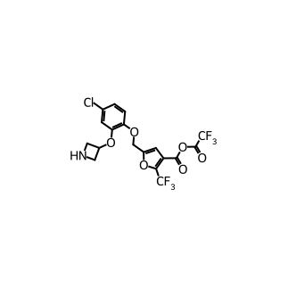 O=C(OC(=O)C(F)(F)F)c1cc(COc2ccc(Cl)cc2OC2CNC2)oc1C(F)(F)F